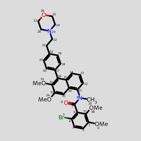 COc1ccc(Br)c(C(=O)N(C)c2cccc3c(-c4ccc(CCN5CCOCC5)cc4)c(OC)c(OC)cc23)c1OC